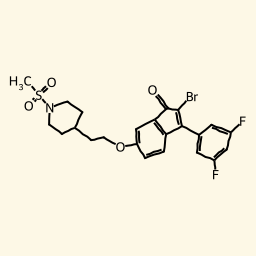 CS(=O)(=O)N1CCC(CCOc2ccc3c(c2)C(=O)C(Br)=C3c2cc(F)cc(F)c2)CC1